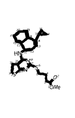 COC(=O)CCCSc1nc(Nc2ccc(C3CC3)c3ccccc23)c2ccsc2n1